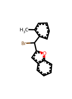 Cc1ccccc1C(Br)c1cc2ccccc2o1